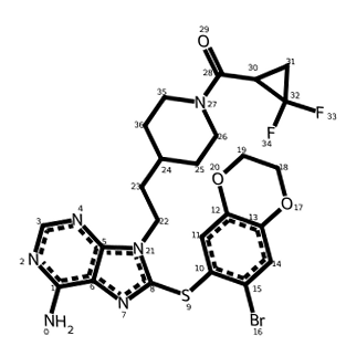 Nc1ncnc2c1nc(Sc1cc3c(cc1Br)OCCO3)n2CCC1CCN(C(=O)C2CC2(F)F)CC1